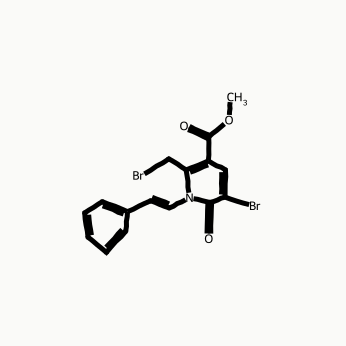 COC(=O)c1cc(Br)c(=O)n(C=Cc2ccccc2)c1CBr